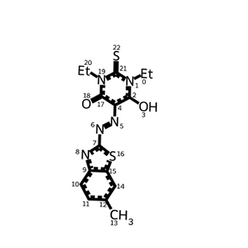 CCn1c(O)c(N=Nc2nc3ccc(C)cc3s2)c(=O)n(CC)c1=S